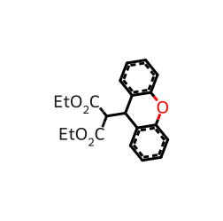 CCOC(=O)C(C(=O)OCC)C1c2ccccc2Oc2ccccc21